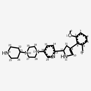 COc1cccc(F)c1C1=CNC(c2ccc(N3CCN(C4CCNCC4)CC3)cn2)C1